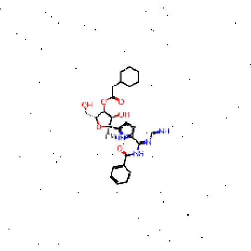 N#C[C@@]1(c2ccc(/C(=N\C=N)NC(=O)C3=CC=CCC3)[nH]2)O[C@H](CO)[C@@H](OC(=O)CC2CCCCC2)[C@H]1O